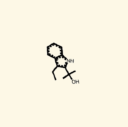 CCc1c(C(C)(C)O)[nH]c2ccccc12